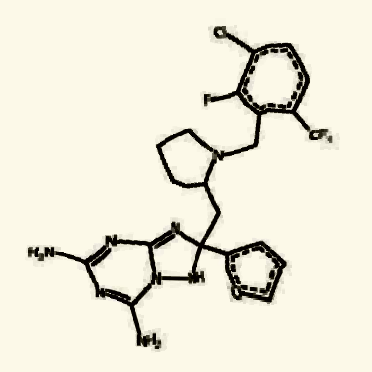 NC1=NC2=NC(CC3CCCN3Cc3c(C(F)(F)F)ccc(Cl)c3F)(c3ccco3)NN2C(N)=N1